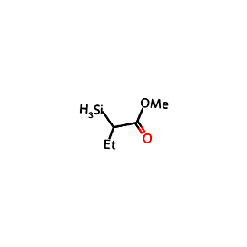 [CH2]CC([SiH3])C(=O)OC